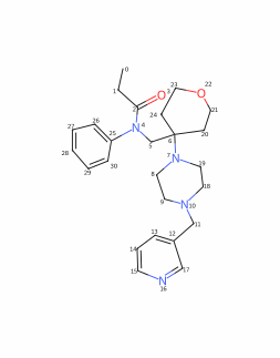 CCC(=O)N(CC1(N2CCN(Cc3cccnc3)CC2)CCOCC1)c1ccccc1